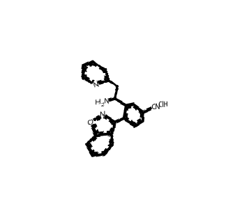 Cl.N#Cc1ccc(-c2noc3ccccc23)c(C(N)Cc2ccccn2)c1